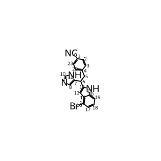 N#Cc1ccc(CC(c2cnc[nH]2)c2cc3c(Br)cccc3[nH]2)cc1